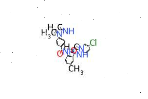 CC(=N)N(C)c1ccc(C(=O)Nc2ccc(C)cc2C(=O)NC2C=CC(Cl)=CN2C)cc1